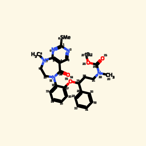 CSc1ncc2c(n1)N(C)CCN(c1ccccc1OC(CCN(C)C(=O)OC(C)(C)C)c1ccccc1)C2=O